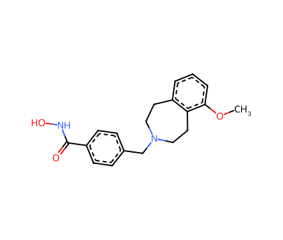 COc1cccc2c1CCN(Cc1ccc(C(=O)NO)cc1)CC2